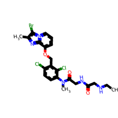 CCNCC(=O)NCC(=O)N(C)c1ccc(Cl)c(COc2cccn3c(Br)c(C)nc23)c1Cl